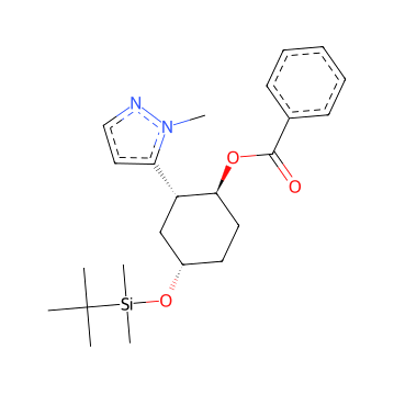 Cn1nccc1[C@H]1C[C@@H](O[Si](C)(C)C(C)(C)C)CC[C@@H]1OC(=O)c1ccccc1